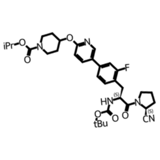 CC(C)OC(=O)N1CCC(Oc2ccc(-c3ccc(C[C@H](NC(=O)OC(C)(C)C)C(=O)N4CCC[C@H]4C#N)c(F)c3)cn2)CC1